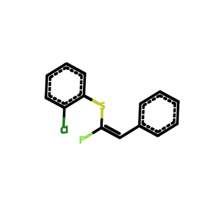 FC(=Cc1ccccc1)Sc1ccccc1Cl